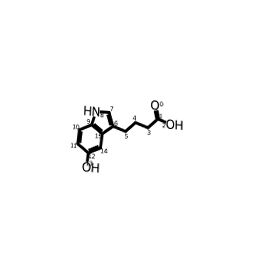 O=C(O)CCCc1c[nH]c2ccc(O)cc12